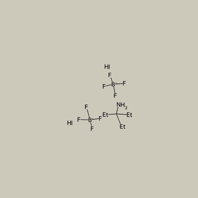 CCC(N)(CC)CC.F[B-](F)(F)F.F[B-](F)(F)F.I.I